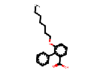 CCCCCCCOc1cccc(C(=O)O)c1-c1ccccc1